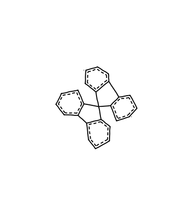 [c]1ccc2c(c1)C1(c3c[c]ccc3-2)c2ccccc2-c2ccccc21